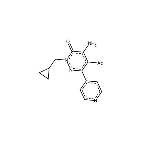 CC(=O)c1c(-c2ccncc2)nn(CC2CC2)c(=O)c1N